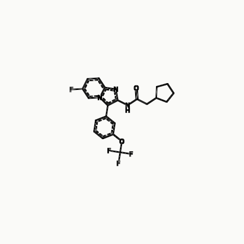 O=C(CC1CCCC1)Nc1nc2ccc(F)cn2c1-c1cccc(OC(F)(F)F)c1